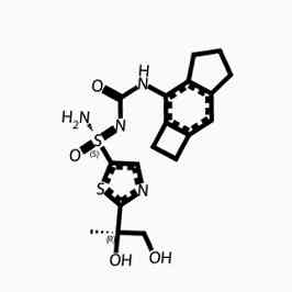 C[C@@](O)(CO)c1ncc([S@@](N)(=O)=NC(=O)Nc2c3c(cc4c2CC4)CCC3)s1